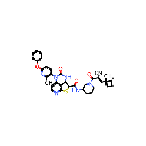 Cc1nc(Oc2ccccc2)ccc1N1C(=O)NC2c3c1ccnc3SC2C(=O)NC1CCCN(C(=O)C(C#N)=CC2(C)CCC2)C1